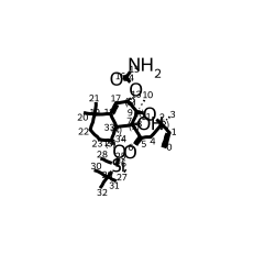 C=C[C@@]1(C)CC(=O)[C@@]2(O)[C@](C)(O1)[C@@H](OC(N)=O)C=C1C(C)(C)CC[C@H](O[Si](C)(C)C(C)(C)C)[C@@]12C